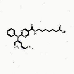 C=C/C(=C\C=C/C)N(c1ccccc1)c1ncc(C(=O)NCCCCCCC(=O)O)cn1